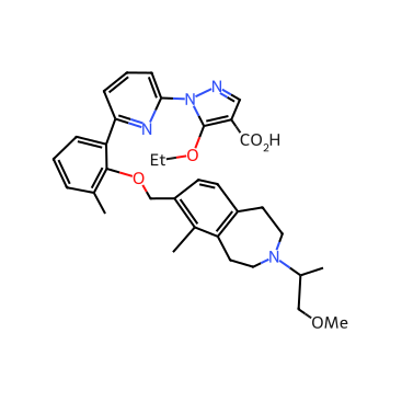 CCOc1c(C(=O)O)cnn1-c1cccc(-c2cccc(C)c2OCc2ccc3c(c2C)CCN(C(C)COC)CC3)n1